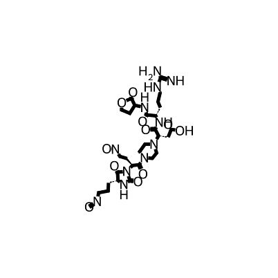 N=C(N)NCCC[C@H](NC(=O)[C@H](CC(=O)O)N1CCN(C(=O)[C@H](CCN=O)N2C(=O)N[C@H](CCCN=O)C2=O)CC1)C(=O)NC1CCOC1=O